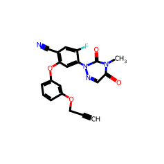 C#CCOc1cccc(Oc2cc(-n3ncc(=O)n(C)c3=O)c(F)cc2C#N)c1